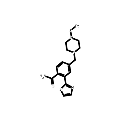 CCSN1CCN(Cc2ccc(C(N)=O)c(-c3nccs3)c2)CC1